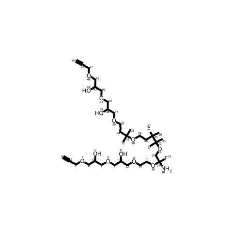 C#CCOCC(O)COCC(O)COCCOC(N)(F)COC(C)(C)C(C)(F)CCOC(C)(C)CCOCC(O)COCC(O)COCC#C